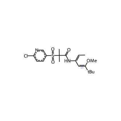 CC=C(/C=C(\OC)C(C)(C)C)NC(=O)C(C)(C)S(=O)(=O)c1ccc(Cl)nc1